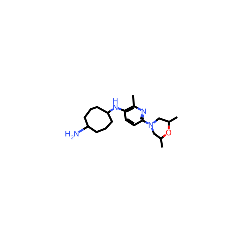 Cc1nc(N2CC(C)OC(C)C2)ccc1NC1CCCC(N)CCC1